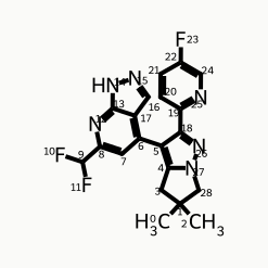 CC1(C)Cc2c(-c3cc(C(F)F)nc4[nH]ncc34)c(-c3ccc(F)cn3)nn2C1